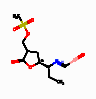 CCC(/N=C/B=O)[C@@H]1CC(COS(C)(=O)=O)C(=O)O1